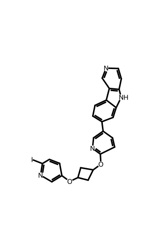 Ic1ccc(OC2CC(Oc3ccc(-c4ccc5c(c4)[nH]c4ccncc45)cn3)C2)cn1